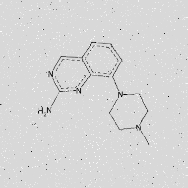 CN1CCN(c2cccc3cnc(N)nc23)CC1